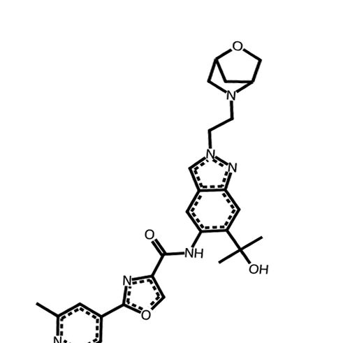 Cc1cc(-c2nc(C(=O)Nc3cc4cn(CCN5CC6CC5CO6)nc4cc3C(C)(C)O)co2)ccn1